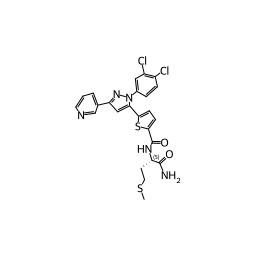 CSCC[C@H](NC(=O)c1ccc(-c2cc(-c3cccnc3)nn2-c2ccc(Cl)c(Cl)c2)s1)C(N)=O